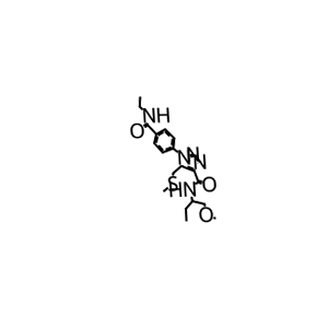 CCNC(=O)c1ccc(-n2nnc(C(=O)NC(CC)COC)c2CSC)cc1